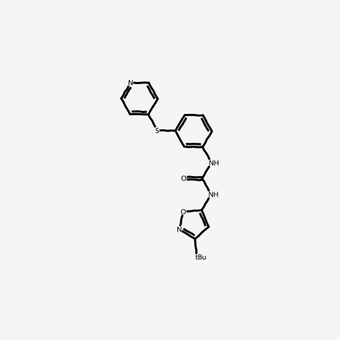 CC(C)(C)c1cc(NC(=O)Nc2cccc(Sc3ccncc3)c2)on1